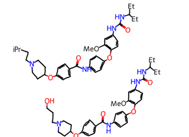 CCC(CC)NC(=O)Nc1ccc(Oc2ccc(NC(=O)c3ccc(OC4CCN(CCC(C)C)CC4)cc3)cc2)c(OC)c1.CCC(CC)NC(=O)Nc1ccc(Oc2ccc(NC(=O)c3ccc(OC4CCN(CCCO)CC4)cc3)cc2)c(OC)c1